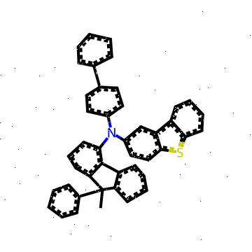 CC1(c2ccccc2)c2ccccc2-c2c(N(c3ccc(-c4ccccc4)cc3)c3ccc4sc5ccccc5c4c3)cccc21